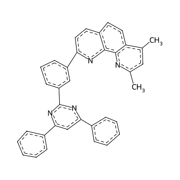 Cc1cc(C)c2ccc3ccc(-c4cccc(-c5nc(-c6ccccc6)cc(-c6ccccc6)n5)c4)nc3c2n1